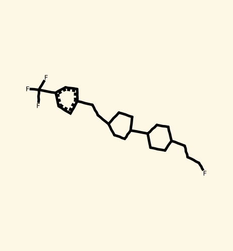 FCCCC1CCC(C2CCC(CCc3ccc(C(F)(F)F)cc3)CC2)CC1